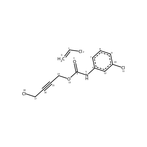 C=CCl.O=C(Nc1cccc(Cl)c1)OCC#CCCl